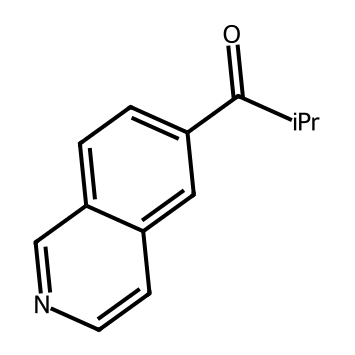 CC(C)C(=O)c1ccc2cnccc2c1